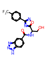 O=C(NC(CO)c1nc(-c2ccc(C(F)(F)F)cc2)no1)c1ccc2[nH]nnc2c1